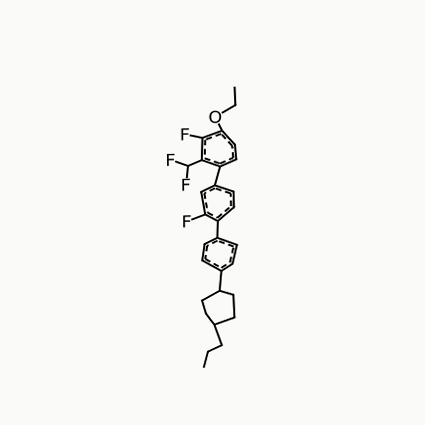 CCCC1CCC(c2ccc(-c3ccc(-c4ccc(OCC)c(F)c4C(F)F)cc3F)cc2)CC1